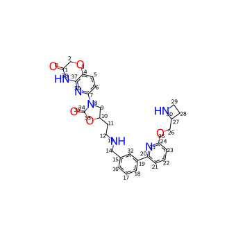 O=C1COc2ccc(N3CC(CCNCc4cccc(-c5cccc(OCC6CCN6)n5)c4)OC3=O)nc2N1